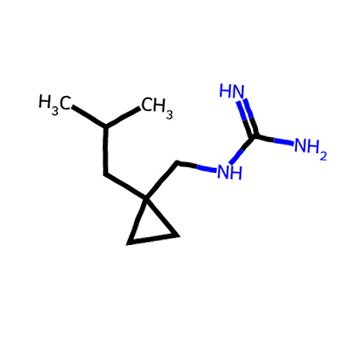 CC(C)CC1(CNC(=N)N)CC1